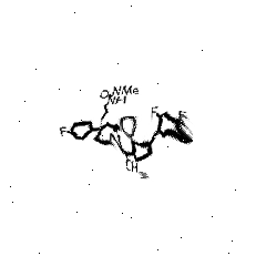 CNC(=O)NCCC[C@@]1(c2ccc(F)cc2)CCN([C@@H](C)c2ccc(-c3ccc(F)cc3F)cc2)C(=O)C1